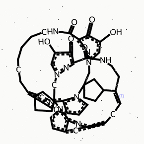 O=C1NCC/C(C2CCC3(C2)Cn2cc(O)c(=O)c(n2)C(=O)NCCCCCCc2cnc4c(ccn43)c2)=C/Cc2cnc3c(ccn3C3(CCCC3)Cn3cc(O)c(=O)c1n3)c2